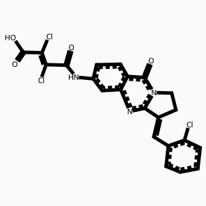 O=C(O)C(Cl)=C(Cl)C(=O)Nc1ccc2c(=O)n3c(nc2c1)C(=Cc1ccccc1Cl)CC3